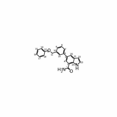 NC(=O)c1cc(-c2cccc(COc3ccccc3)c2)cc2cc[nH]c12